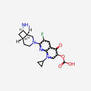 N[C@H]1C[C@H]2CCN(c3nc4c(cc3F)c(=O)c(OC(=O)O)cn4C3CC3)C[C@H]21